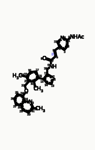 CC(=O)Nc1ccc(/C=C/C(=O)NCc2sccc2-c2ccc(C)c(COc3cccc4ccc(C)nc34)c2C)cn1